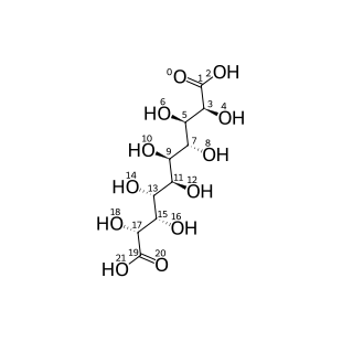 O=C(O)[C@@H](O)[C@H](O)[C@H](O)[C@H](O)[C@@H](O)[C@@H](O)[C@H](O)[C@@H](O)C(=O)O